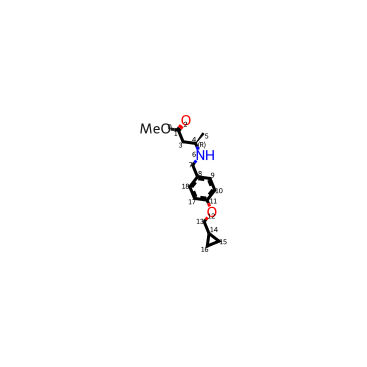 COC(=O)C[C@@H](C)NCc1ccc(OCC2CC2)cc1